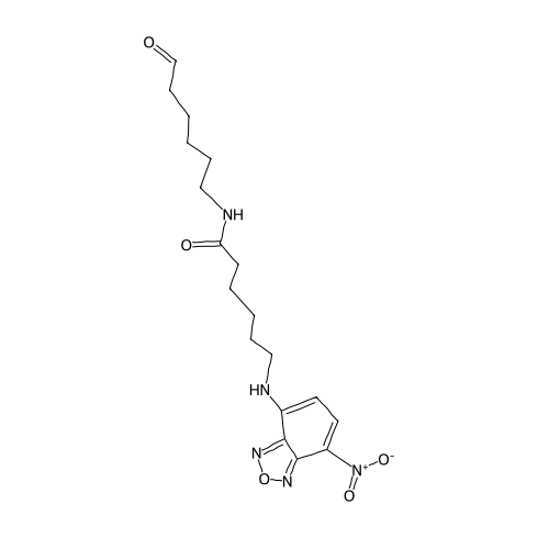 O=CCCCCCNC(=O)CCCCCNc1ccc([N+](=O)[O-])c2nonc12